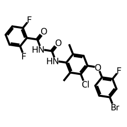 Cc1cc(Oc2ccc(Br)cc2F)c(Cl)c(C)c1NC(=O)NC(=O)c1c(F)cccc1F